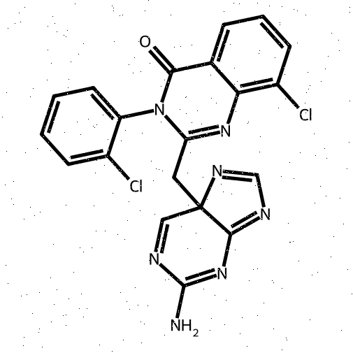 NC1=NC2=NC=NC2(Cc2nc3c(Cl)cccc3c(=O)n2-c2ccccc2Cl)C=N1